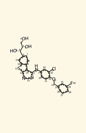 OC[C@H](O)[C@@H](O)c1ccc2c(c1)sc1ncnc(Nc3ccc(OCc4cccc(F)c4)c(Cl)c3)c12